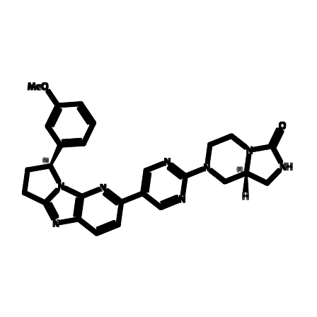 COc1cccc([C@@H]2CCc3nc4ccc(-c5cnc(N6CCN7C(=O)NC[C@@H]7C6)nc5)nc4n32)c1